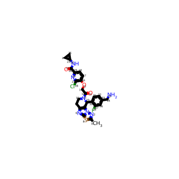 Cc1nn2c3c(nc2s1)CCN(C(=O)COc1ccc(C(=O)NC2CC2)nc1Cl)C3c1ccc(CN)cc1F